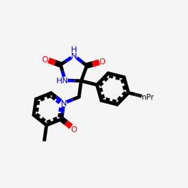 CCCc1ccc(C2(Cn3cccc(C)c3=O)NC(=O)NC2=O)cc1